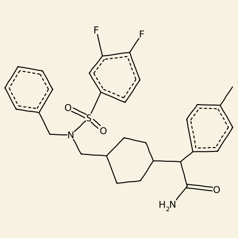 Cc1ccc(C(C(N)=O)C2CCC(CN(Cc3ccccc3)S(=O)(=O)c3ccc(F)c(F)c3)CC2)cc1